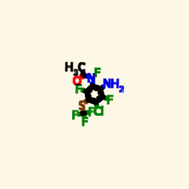 CC(=O)N(F)c1c(N)c(F)c(Cl)c(SC(F)(F)F)c1F